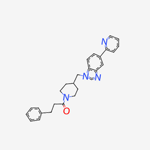 O=C(CCc1ccccc1)N1CCC(Cn2cnc3cc(-c4ccccn4)ccc32)CC1